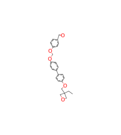 CCC1(COc2ccc(-c3ccc(OCOc4ccc(C=O)cc4)cc3)cc2)COC1